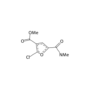 CNC(=O)c1cc(C(=O)OC)c(Cl)o1